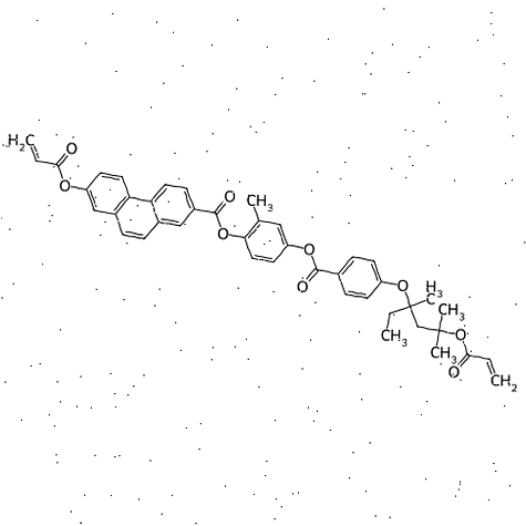 C=CC(=O)Oc1ccc2c(ccc3cc(C(=O)Oc4ccc(OC(=O)c5ccc(OC(C)(CC)CC(C)(C)OC(=O)C=C)cc5)cc4C)ccc32)c1